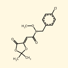 CON(Cc1ccc(Cl)cc1)C(=O)C=C1OC(C)(C)OC1=O